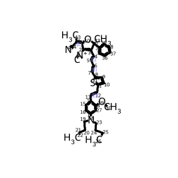 [C-]#[N+]C1=C(/C=C/C=C/c2ccc(/C=C/c3ccc(N(CCCC)CCCC)cc3OC)s2)C(C)(c2ccccc2)O/C1=C(\C)C#N